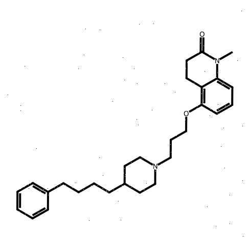 CN1C(=O)CCc2c(OCCCN3CCC(CCCCc4ccccc4)CC3)cccc21